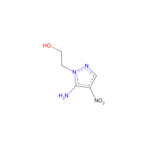 Nc1c([N+](=O)[O-])cnn1CCO